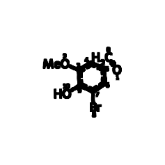 C=O.COc1cccc(Br)c1O